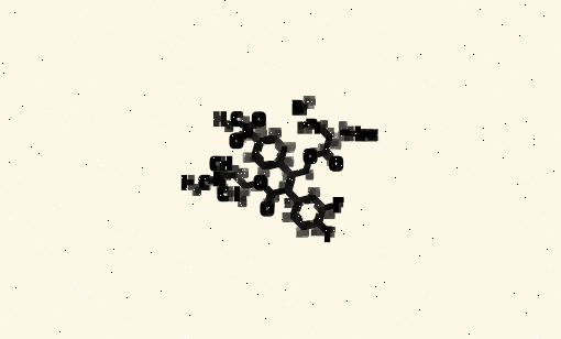 CCCCCC[C@@H](CCC)C(=O)OCC(=C(C(=O)OCC[N+](C)(C)C)c1ccc(F)c(F)c1)c1ccc(S(C)(=O)=O)cc1.[Br-]